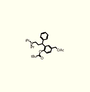 CC(=O)OCc1ccc(OC(=O)C(C)(C)C)c(C(CCN(C(C)C)C(C)C)c2ccccc2)c1